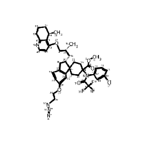 COC(=O)C1(N(C(=O)C(F)(F)F)c2cccc(Cl)c2)CCC2(CC1)c1cc(OCCN=[N+]=[N-])ccc1C[C@@H]2C[C@@H](C)COc1ccnc2c1[C@H](C)CCC2